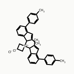 CC1=Cc2c(-c3ccc(C)cc3)cccc2[CH]1[Ti+2]1([CH]2C(C)=Cc3c(-c4ccc(C)cc4)cccc32)[CH2]C[CH2]1.[Cl-].[Cl-]